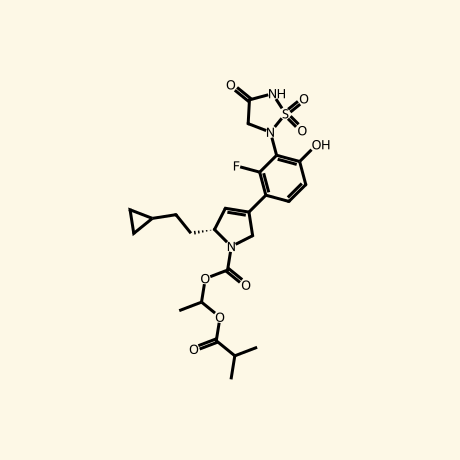 CC(OC(=O)C(C)C)OC(=O)N1CC(c2ccc(O)c(N3CC(=O)NS3(=O)=O)c2F)=C[C@H]1CCC1CC1